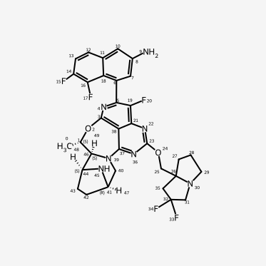 C[C@@H]1Oc2nc(-c3cc(N)cc4ccc(F)c(F)c34)c(F)c3nc(OCC45CCCN4CC(F)(F)C5)nc(c23)N2C[C@H]3CC[C@H](N3)[C@@H]12